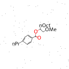 CCCCCCCCC(COC)OC(=O)c1ccc(CCC)cc1